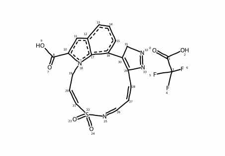 O=C(O)C(F)(F)F.O=C(O)c1cc2cccc3c2n1C/C=C\S(=O)(=O)/N=C\C=C/C1=C3CN=N1